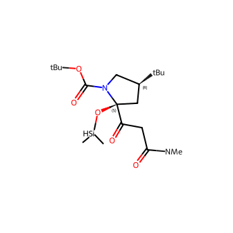 CNC(=O)CC(=O)[C@@]1(O[SiH](C)C)C[C@H](C(C)(C)C)CN1C(=O)OC(C)(C)C